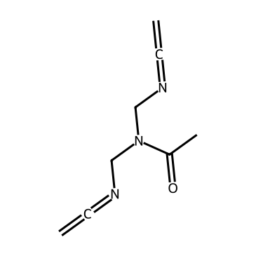 C=C=NCN(CN=C=C)C(C)=O